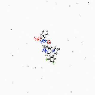 O=C(NCC1(CO)CCCC1)c1cnn2ccc(N3CCCC3c3cc(F)cc(F)c3)cc12